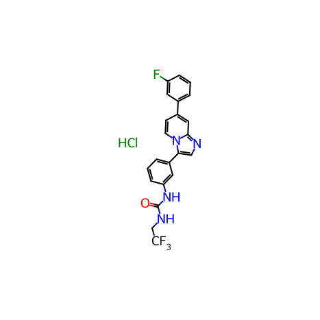 Cl.O=C(NCC(F)(F)F)Nc1cccc(-c2cnc3cc(-c4cccc(F)c4)ccn23)c1